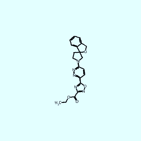 CCOC(=O)c1noc(-c2ccc(N3CCC4(C3)OCc3ccccc34)nn2)n1